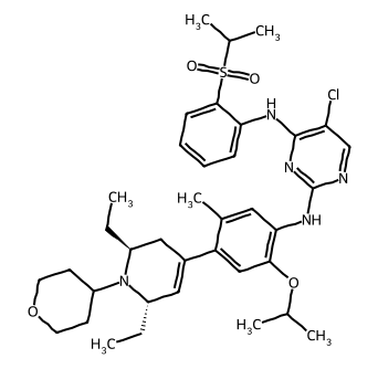 CC[C@H]1CC(c2cc(OC(C)C)c(Nc3ncc(Cl)c(Nc4ccccc4S(=O)(=O)C(C)C)n3)cc2C)=C[C@H](CC)N1C1CCOCC1